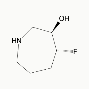 O[C@@H]1CNCCC[C@H]1F